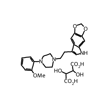 COc1ccccc1N1CCN(CCc2c[nH]c3cc4c(cc23)OCO4)CC1.O=C(O)C(O)C(O)C(=O)O